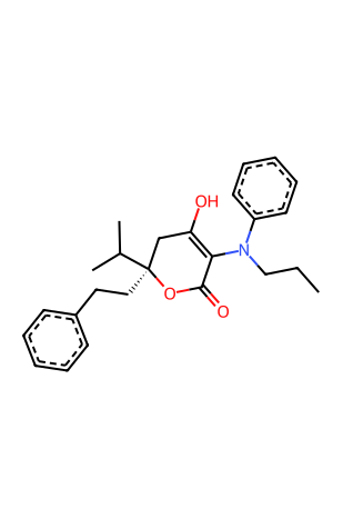 CCCN(C1=C(O)C[C@](CCc2ccccc2)(C(C)C)OC1=O)c1ccccc1